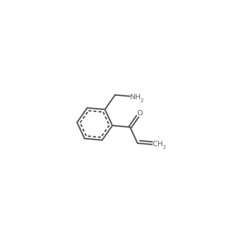 C=CC(=O)c1ccccc1CN